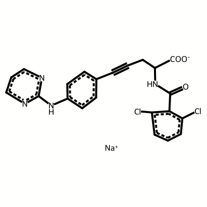 O=C(NC(CC#Cc1ccc(Nc2ncccn2)cc1)C(=O)[O-])c1c(Cl)cccc1Cl.[Na+]